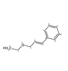 O=C(O)COCC=Cc1ccccc1